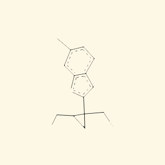 NCC1(c2cc3ccc(Br)cc3s2)CC1CO